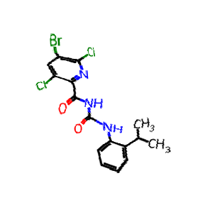 CC(C)c1ccccc1NC(=O)NC(=O)c1nc(Cl)c(Br)cc1Cl